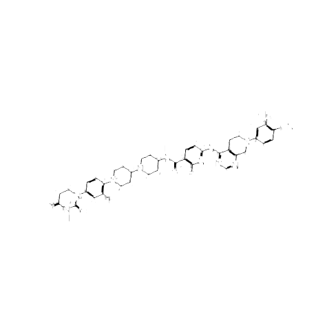 N#Cc1ccc(N2CCc3c(ncnc3Nc3ccc(C(=O)NC4CCN(C5CCN(c6ccc(N7CCC(=O)NC7=O)cc6F)CC5)CC4)c(F)n3)C2)cc1C(F)(F)F